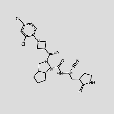 N#C[C@H](CC1CCNC1=O)NC(=O)[C@@H]1C2CCCC2CN1C(=O)C1CN(c2ccc(Cl)cc2Cl)C1